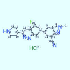 Cl.Cn1cc2cc(-c3cc(F)c4cc(C5CCNCC5)nnc4c3)cc(C#N)c2n1